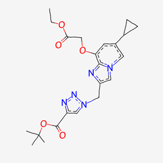 CCOC(=O)COc1cc(C2CC2)cn2cc(Cn3cc(C(=O)OC(C)(C)C)nn3)nc12